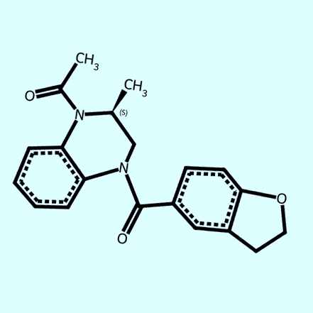 CC(=O)N1c2ccccc2N(C(=O)c2ccc3c(c2)CCO3)C[C@@H]1C